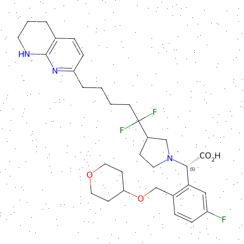 O=C(O)[C@H](c1cc(F)ccc1COC1CCOCC1)N1CCC(C(F)(F)CCCCc2ccc3c(n2)NCCC3)C1